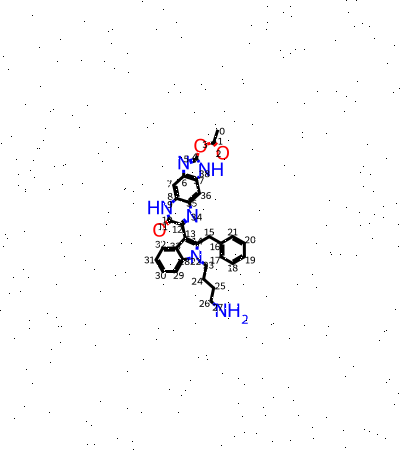 CC(=O)Oc1nc2cc3[nH]c(=O)c(-c4c(Cc5ccccc5)n(CCCCN)c5ccccc45)nc3cc2[nH]1